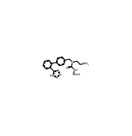 CCCCCNC(=O)N(CCN)Cc1ccc(-c2ccccc2-c2nnn[nH]2)cc1